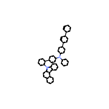 c1cccc(-c2c#cc(-c3ccc(N(c4ccccc4)c4ccc(-c5ccccc5-n5c6ccccc6c6c7ccccc7ccc65)cc4)cc3)cc2)c#1